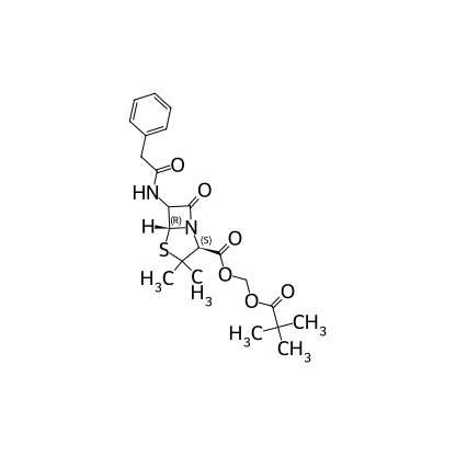 CC(C)(C)C(=O)OCOC(=O)[C@@H]1N2C(=O)C(NC(=O)Cc3ccccc3)[C@H]2SC1(C)C